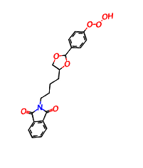 O=C1c2ccccc2C(=O)N1CCCCC1COC(c2ccc(OOO)cc2)O1